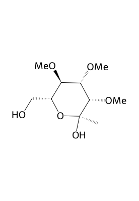 CO[C@H]1[C@H](OC)[C@H](OC)[C@@](C)(O)O[C@@H]1CO